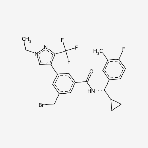 CCn1cc(-c2cc(CBr)cc(C(=O)N[C@H](c3ccc(F)c(C)c3)C3CC3)c2)c(C(F)(F)F)n1